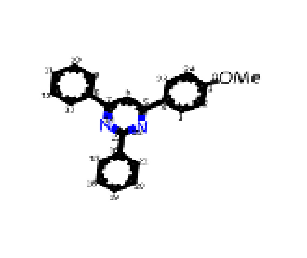 COc1ccc(-c2cc(-c3ccccc3)nc(-c3ccccc3)n2)cc1